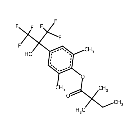 CCC(C)(C)C(=O)Oc1c(C)cc(C(O)(C(F)(F)F)C(F)(F)F)cc1C